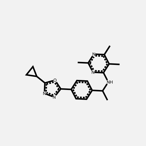 Cc1nc(C)c(C)c(NC(C)c2ccc(-c3nnc(C4CC4)o3)cc2)n1